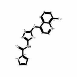 O=C(Nc1nnc(Sc2ccnc3c(F)cccc23)s1)c1cccs1